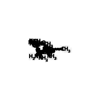 CCCCCCCc1ccc(C(=O)N[C@@H](CCN)C(=O)N(C)[C@@H]2C(=O)N[C@@H](C)C(=O)CCC[C@H](C(=O)N[C@@H](C)C(=O)c3nnn[nH]3)Cc3ccc(OCCN)c(c3)-c3cc2ccc3OCCN)c(C)c1